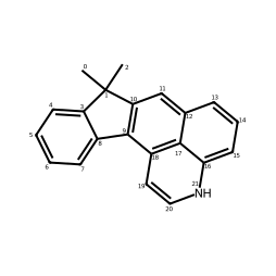 CC1(C)c2ccccc2-c2c1cc1cccc3c1c2C=CN3